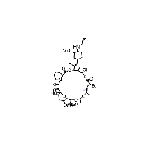 C=CCNC1CCC(C=C(C)C2OC(=O)C3CCCCN3C(=O)C(=O)C3(O)OC(C(OC)CC(C)C/C(C)=C/C(CC)C(=O)CC(O)C2C)C(OC)CC3C)CC1OC